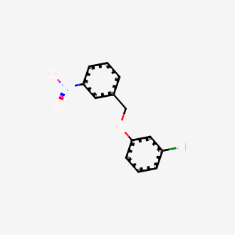 O=[N+]([O-])c1cccc([CH]Oc2cccc(Cl)c2)c1